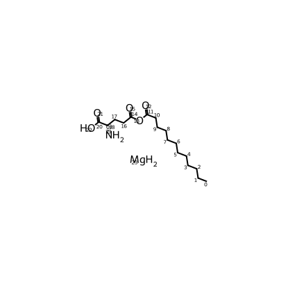 CCCCCCCCCCCC(=O)OC(=O)CC[C@H](N)C(=O)O.[MgH2]